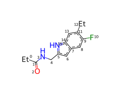 CCC(=O)NCc1cc2cc(F)c(CC)cc2[nH]1